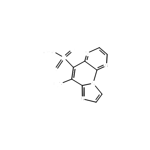 CCCCCS(=O)(=O)c1c(N)c2nccn2c2nccnc12